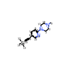 CN1CCN(c2ccc(C#C[Si](C)(C)C)cn2)CC1